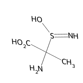 CC(N)(C(=O)O)S(=N)O